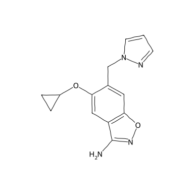 Nc1noc2cc(Cn3cccn3)c(OC3CC3)cc12